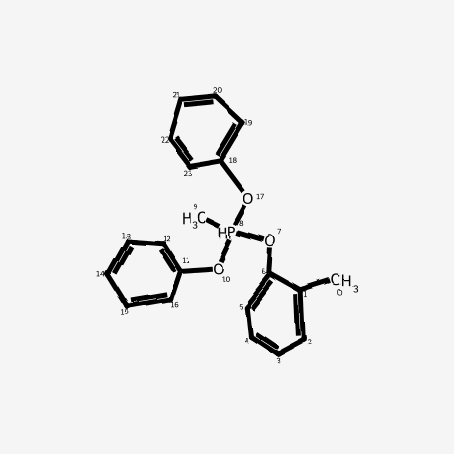 Cc1ccccc1O[PH](C)(Oc1ccccc1)Oc1ccccc1